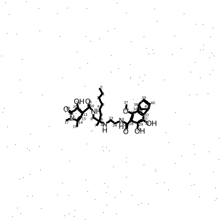 CCCCCCC(C)(CNC(=O)c1cc(C)n(C)c(=O)c1O)NCCNC(=O)c1c(O)c(O)c2c(c1OC)C1C=CC2C1